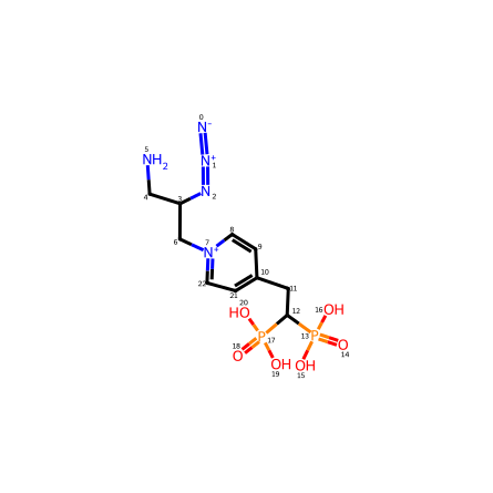 [N-]=[N+]=NC(CN)C[n+]1ccc(CC(P(=O)(O)O)P(=O)(O)O)cc1